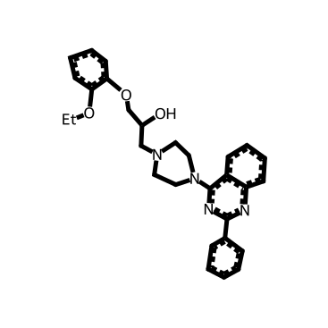 CCOc1ccccc1OCC(O)CN1CCN(c2nc(-c3ccccc3)nc3ccccc23)CC1